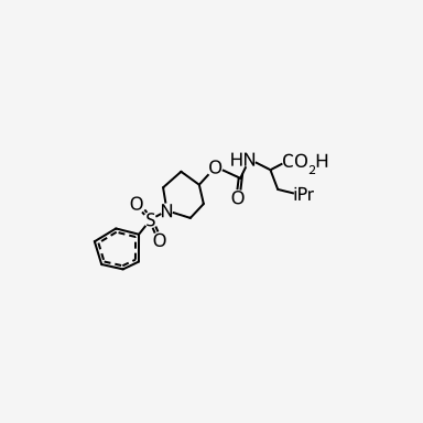 CC(C)CC(NC(=O)OC1CCN(S(=O)(=O)c2ccccc2)CC1)C(=O)O